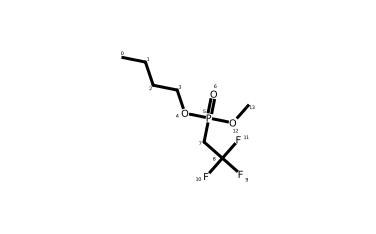 CCCCOP(=O)(CC(F)(F)F)OC